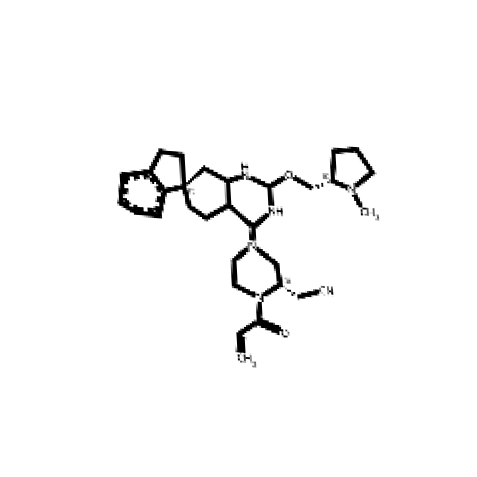 C=CC(=O)N1CCN(C2NC(OC[C@@H]3CCCN3C)NC3C[C@@]4(CCc5ccccc54)CCC32)C[C@@H]1CC#N